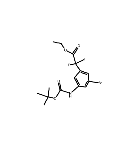 CCOC(=O)C(F)(F)c1cc(Br)cc(NC(=O)OC(C)(C)C)c1